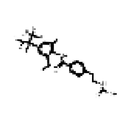 CCc1cc(C(F)(C(F)(F)F)C(F)(F)F)cc(C)c1NC(=O)c1ccc(CCNC(=O)O)cc1